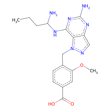 CCCC(N)Nc1nc(N)nc2cnn(Cc3ccc(C(=O)O)cc3OC)c12